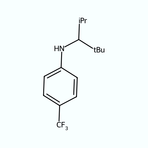 CC(C)C(Nc1ccc(C(F)(F)F)cc1)C(C)(C)C